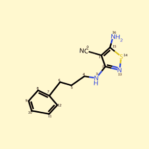 N#Cc1c(NCCCc2ccccc2)nsc1N